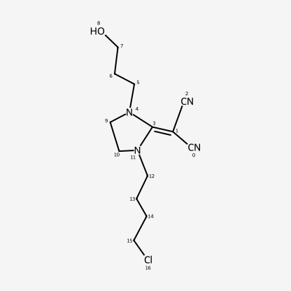 N#CC(C#N)=C1N(CCCO)CCN1CCCCCl